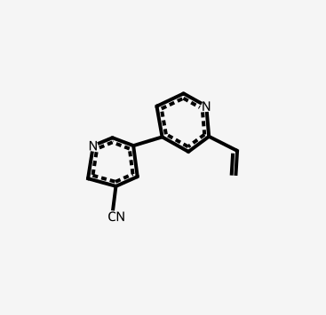 C=Cc1cc(-c2cncc(C#N)c2)ccn1